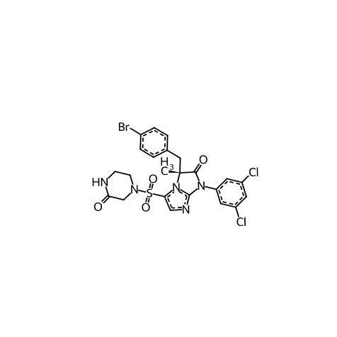 C[C@@]1(Cc2ccc(Br)cc2)C(=O)N(c2cc(Cl)cc(Cl)c2)c2ncc(S(=O)(=O)N3CCNC(=O)C3)n21